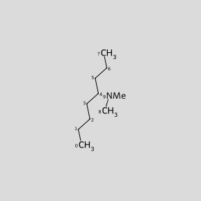 CCCCCCCC.CNC